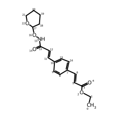 CCOC(=O)/C=C/c1ccc(/C=C/C(=O)NOC2CCCCO2)cc1